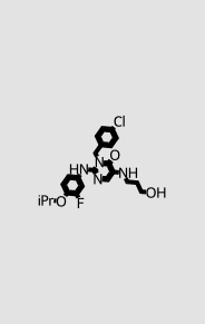 CC(C)Oc1ccc(Nc2ncc(NCCCO)c(=O)n2Cc2ccc(Cl)cc2)cc1F